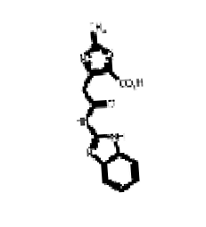 Cc1nc(CC(=O)NC2=NC3C=CC=CC3N2)c(C(=O)O)s1